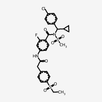 CCS(=O)(=O)c1ccc(CC(=O)Nc2ccc(C(=O)N(C(c3ccc(Cl)cc3)C3CC3)S(C)(=O)=O)c(F)c2)cc1